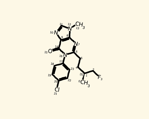 C[C@H](CF)CCc1nc2c(ncn2C)c(=O)n1-c1ccc(Cl)cc1